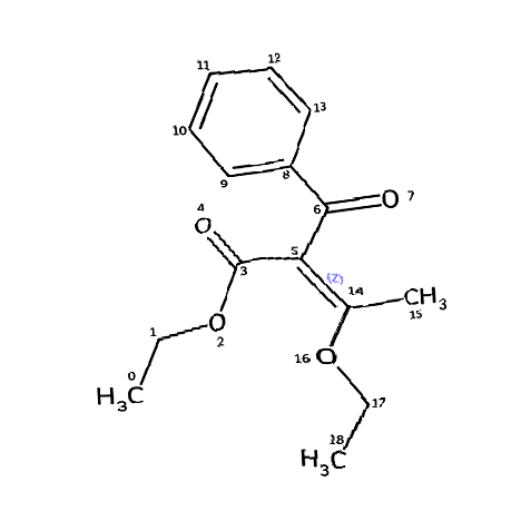 CCOC(=O)/C(C(=O)c1ccccc1)=C(/C)OCC